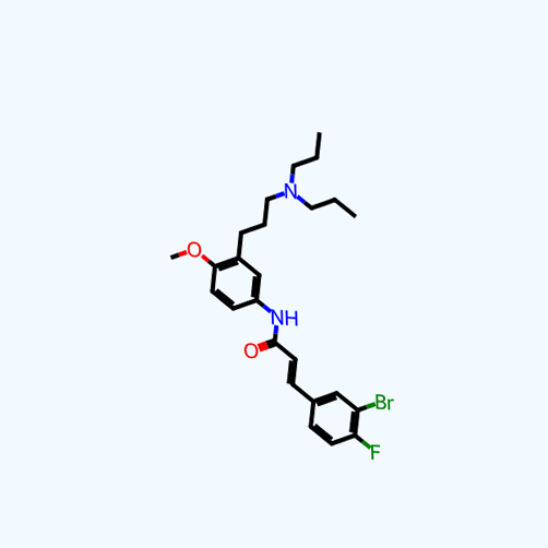 CCCN(CCC)CCCc1cc(NC(=O)C=Cc2ccc(F)c(Br)c2)ccc1OC